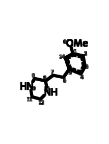 COc1cccc(CCC2CNCCN2)c1